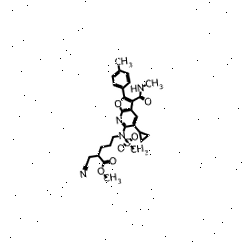 CNC(=O)c1c(-c2ccc(C)cc2)oc2nc(N(CCCC(CC#N)C(=O)OC)S(C)(=O)=O)c(C3CC3)cc12